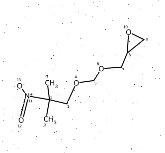 CC(C)(COCOCC1CO1)[N+](=O)[O-]